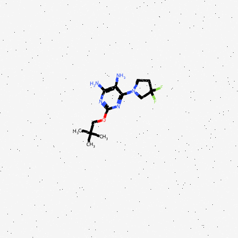 CC(C)(C)COc1nc(N)c(N)c(N2CCC(F)(F)C2)n1